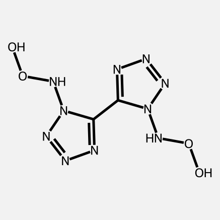 OONn1nnnc1-c1nnnn1NOO